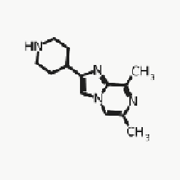 Cc1cn2cc(C3CCNCC3)nc2c(C)n1